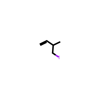 C=CC(C)CI